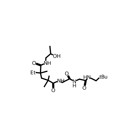 CCC(C)(CC(C)(C)C(=O)NCC(=O)NCC(=O)NCC(C)(C)C)C(=O)NCC(C)O